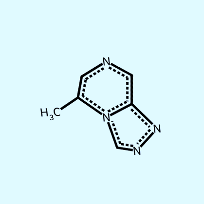 Cc1cncc2nncn12